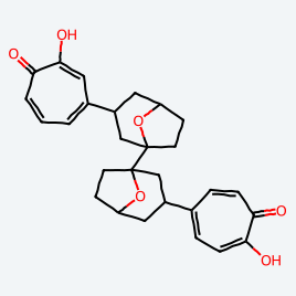 O=c1ccc(C2CC3CCC(C45CCC(CC(c6cccc(=O)c(O)c6)C4)O5)(C2)O3)ccc1O